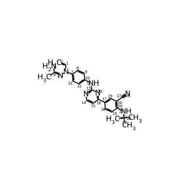 C=CN(/N=C(/C)N)c1ccc(Nc2nccc(-c3ccc(NC(C)(C)C)c(C#N)c3)n2)cc1